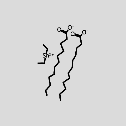 CCCCCCCCCCCC(=O)[O-].CCCCCCCCCCCC(=O)[O-].C[CH2][Sn+2][CH2]C